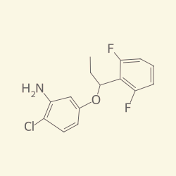 CCC(Oc1ccc(Cl)c(N)c1)c1c(F)cccc1F